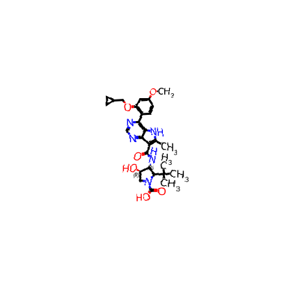 COc1ccc(-c2ncnc3c(C(=O)N[C@@H]4C(C(C)(C)C)N(C(=O)O)C[C@H]4O)c(C)[nH]c23)c(OCC2CC2)c1